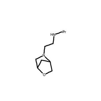 CC(C)NCCN1CC2CC1CO2